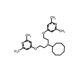 Cc1cc(OCCN(CCOc2cc(C)nc(C)c2)C2CCCCCCC2)cc(C)n1